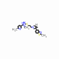 Cc1ccc(-c2nnc(SCCCN3C[C@H]4CC4(c4ccc5sc(C)nc5c4)C3)n2C)cn1